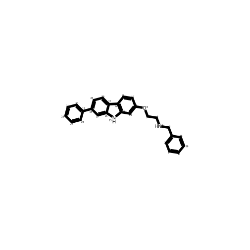 c1ccc(CNCCOc2ccc3c(c2)[nH]c2cc(-c4ccccc4)ccc23)cc1